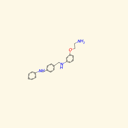 NCCOc1cccc(NCc2ccc(CNc3ccccc3)cc2)c1